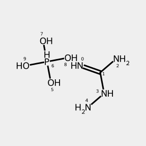 N=C(N)NN.O[PH](O)(O)O